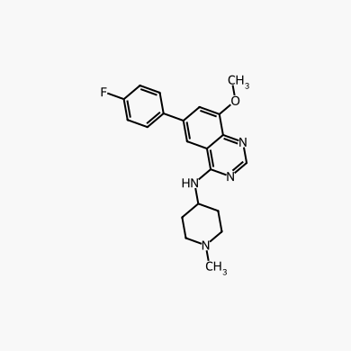 COc1cc(-c2ccc(F)cc2)cc2c(NC3CCN(C)CC3)ncnc12